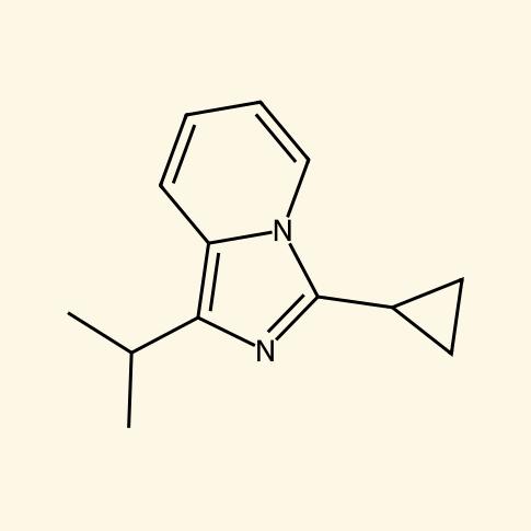 CC(C)c1nc(C2CC2)n2ccccc12